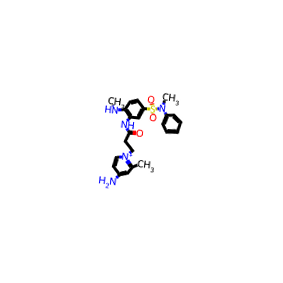 CNc1ccc(S(=O)(=O)N(C)c2ccccc2)cc1NC(=O)CC[n+]1ccc(N)cc1C